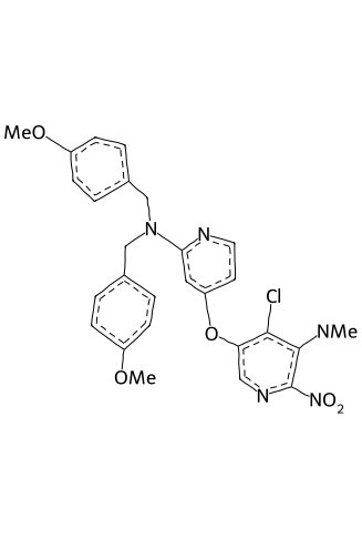 CNc1c([N+](=O)[O-])ncc(Oc2ccnc(N(Cc3ccc(OC)cc3)Cc3ccc(OC)cc3)c2)c1Cl